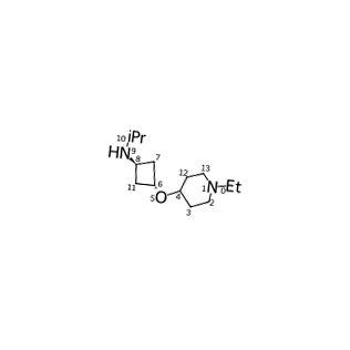 CCN1CCC(O[C@H]2C[C@H](NC(C)C)C2)CC1